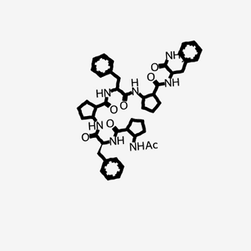 CC(=O)NC1CCCC1C(=O)N[C@@H](Cc1ccccc1)C(=O)NC1CCCC1C(=O)NC(Cc1ccccc1)C(=O)NC1CCCC1C(=O)NC(Cc1ccccc1)C(N)=O